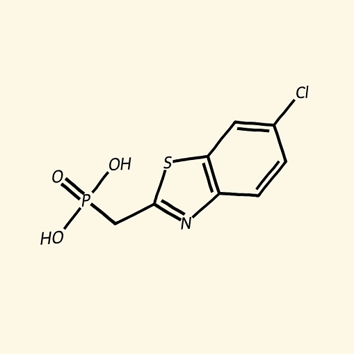 O=P(O)(O)Cc1nc2ccc(Cl)cc2s1